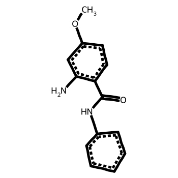 COc1ccc(C(=O)Nc2ccccc2)c(N)c1